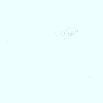 CCCCCCCCCCCCCCCCCCCCCC(=O)Oc1ccc(C(=O)C(N)C(C)C)cc1OC(=O)CCCCCCCCCCCCCCCCCCCCC